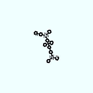 c1ccc(-c2nc(-c3ccc(-c4ccccn4)cc3)nc(-c3ccc(C(c4ccccc4)(c4ccccc4)c4ccc(-c5ccc(-c6nc(-c7ccccc7)nc(-c7ccccn7)n6)cc5)cc4)cc3)n2)cc1